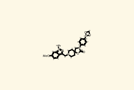 COc1ccc2c(CN3CCC4(CC3)CN(c3ccc(N5OCO5)cc3)C(=O)O4)nn(C(C)C)c2c1